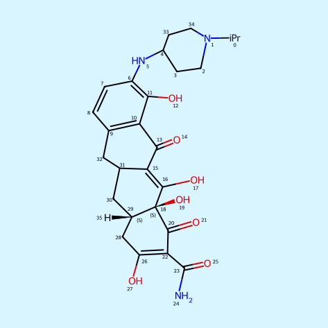 CC(C)N1CCC(Nc2ccc3c(c2O)C(=O)C2=C(O)[C@]4(O)C(=O)C(C(N)=O)=C(O)C[C@@H]4CC2C3)CC1